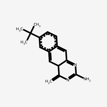 C=C1N=C(N)N=C2C=c3ccc(C(C)(C)C)cc3=CC12